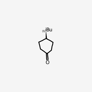 CC[C@H](C)C1CCC(=O)CC1